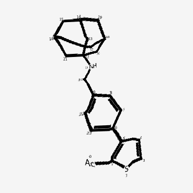 CC(=O)c1sccc1-c1ccc(CNC23CC4CC(CC(C4)C2)C3)cc1